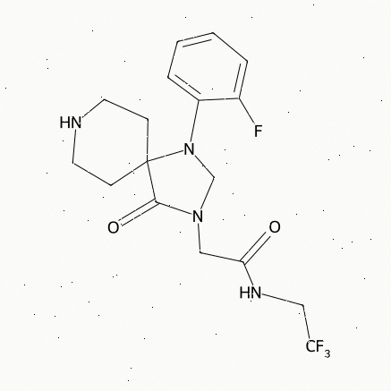 O=C(CN1CN(c2ccccc2F)C2(CCNCC2)C1=O)NCC(F)(F)F